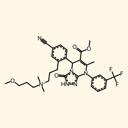 COCCC[N+](C)(C)CCCc1cc(C#N)ccc1C1C(C(=O)OC)=C(C)N(c2cccc(C(F)(F)F)c2)c2n[nH]c(=O)n21